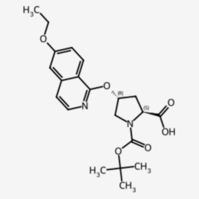 CCOc1ccc2c(O[C@@H]3C[C@@H](C(=O)O)N(C(=O)OC(C)(C)C)C3)nccc2c1